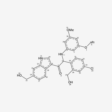 CCCOc1cc(NC(C(=O)c2c[nH]c3cc(CO)ccc23)c2ccc(Cl)cc2CO)cc(OC)c1